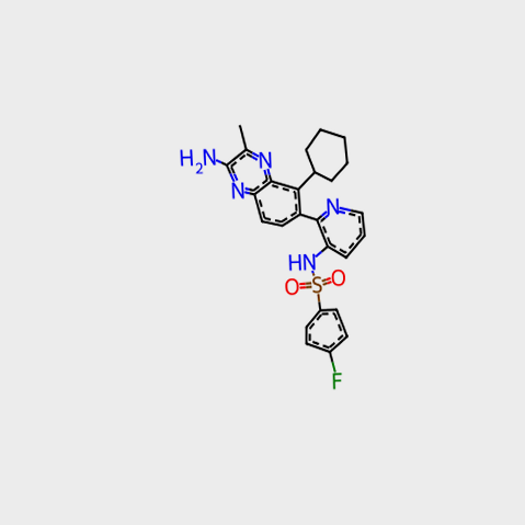 Cc1nc2c(C3CCCCC3)c(-c3ncccc3NS(=O)(=O)c3ccc(F)cc3)ccc2nc1N